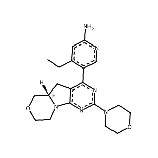 CCc1cc(N)ncc1-c1nc(N2CCOCC2)nc2c1C[C@H]1COCCN21